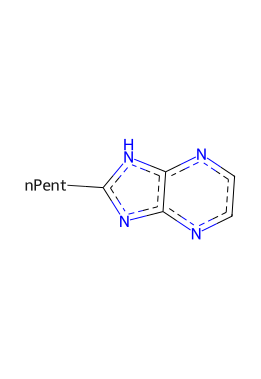 CCCCCc1nc2nccnc2[nH]1